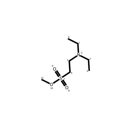 CCN(CC)CCS(=O)(=O)OC